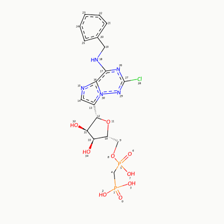 O=P(O)(O)CP(=O)(O)OC[C@H]1O[C@@H](c2cnc3c(NCc4ccccc4)nc(Cl)nn23)[C@H](O)[C@@H]1O